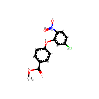 COC(=O)c1ccc(Oc2cc(Cl)ccc2[N+](=O)[O-])cc1